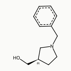 OC[C@@H]1CCN(Cc2ccccc2)C1